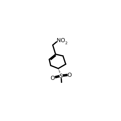 CS(=O)(=O)[C@@H]1CC=C(C[N+](=O)[O-])CC1